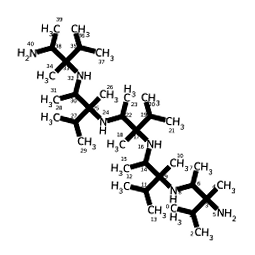 CC(C)C(C)(N)C(C)NC(C)(C(C)C)C(C)NC(C)(C(C)C)C(C)NC(C)(C(C)C)C(C)NC(C)(C(C)C)C(C)N